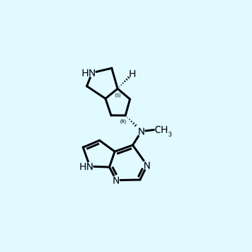 CN(c1ncnc2[nH]ccc12)[C@@H]1CC2CNC[C@H]2C1